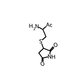 CC(=O)C(N)CSC1CC(=O)NC1=O